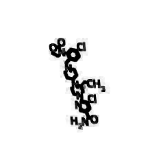 CC[C@H]1CN(c2ncc(C(N)=O)cc2Cl)CCN1C1CCN(Cc2ccc(Cl)cc2N2CCOC2=O)CC1